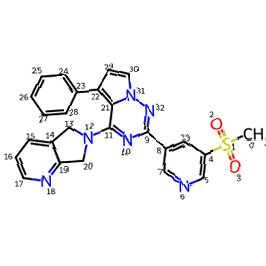 CS(=O)(=O)c1cncc(-c2nc(N3Cc4cccnc4C3)c3c(-c4ccccc4)ccn3n2)c1